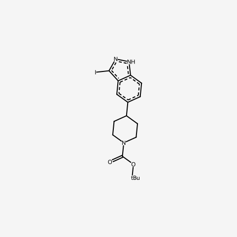 CC(C)(C)OC(=O)N1CCC(c2ccc3[nH]nc(I)c3c2)CC1